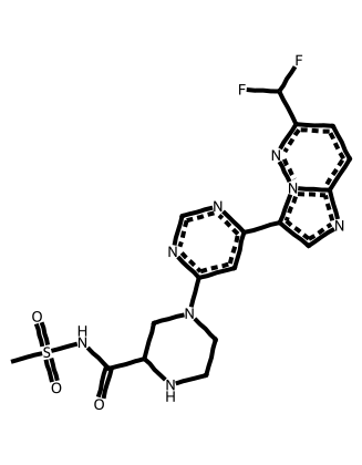 CS(=O)(=O)NC(=O)C1CN(c2cc(-c3cnc4ccc(C(F)F)nn34)ncn2)CCN1